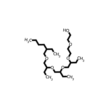 CCCCC(CC)COCC(CC)OCC(CC)OCC(CC)OCCOCCO